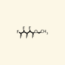 CCOC(F)C(F)C(F)C(F)C(F)F